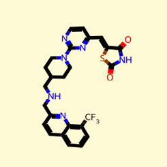 O=C1NC(=O)C(=Cc2ccnc(N3CCC(CNCc4ccc5cccc(C(F)(F)F)c5n4)CC3)n2)S1